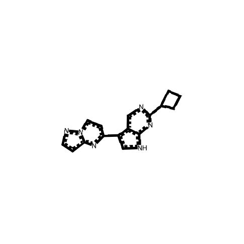 c1cc2nc(-c3c[nH]c4nc(C5CCC5)ncc34)ccn2n1